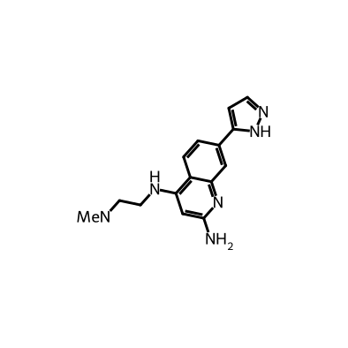 CNCCNc1cc(N)nc2cc(-c3ccn[nH]3)ccc12